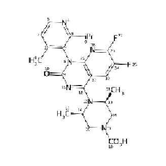 Cc1ccnc(C(C)C)c1-n1c(=O)nc(N2[C@H](C)CN(C(=O)O)C[C@@H]2C)c2cc(F)c(F)nc21